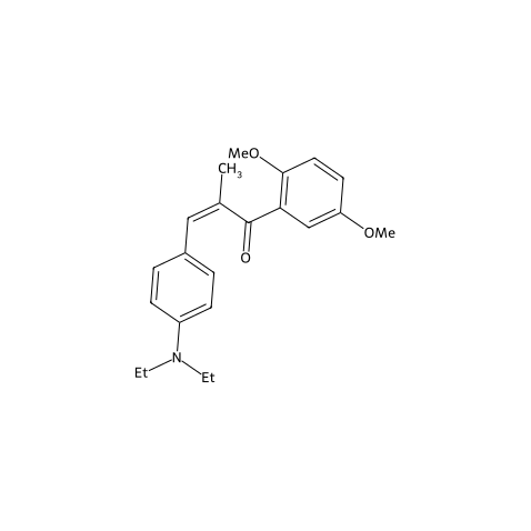 CCN(CC)c1ccc(C=C(C)C(=O)c2cc(OC)ccc2OC)cc1